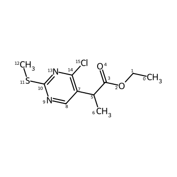 CCOC(=O)C(C)c1cnc(SC)nc1Cl